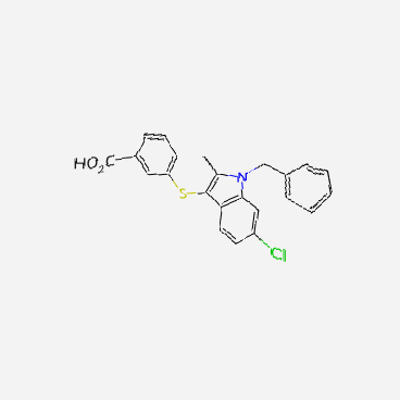 Cc1c(Sc2cccc(C(=O)O)c2)c2ccc(Cl)cc2n1Cc1ccccc1